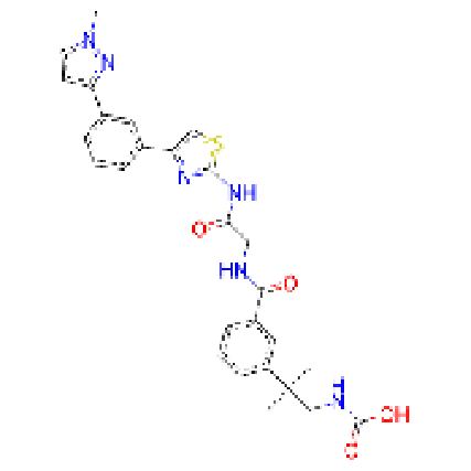 Cn1ccc(-c2cccc(-c3csc(NC(=O)CNC(=O)c4cccc(C(C)(C)CNC(=O)O)c4)n3)c2)n1